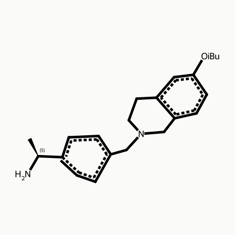 CC(C)COc1ccc2c(c1)CCN(Cc1ccc([C@H](C)N)cc1)C2